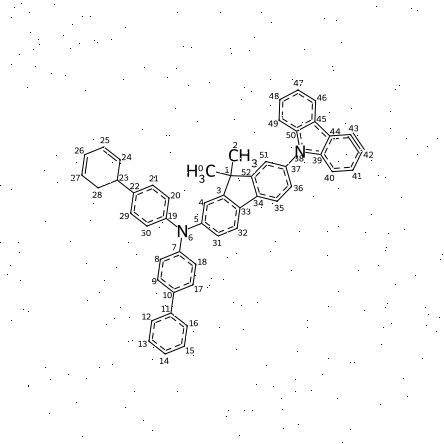 CC1(C)c2cc(N(c3ccc(-c4ccccc4)cc3)c3ccc(C4C=CC=CC4)cc3)ccc2-c2ccc(-n3c4ccc#cc4c4ccccc43)cc21